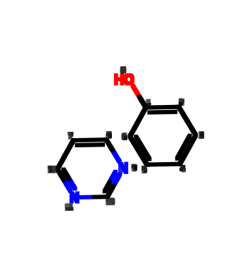 Oc1ccccc1.c1cncnc1